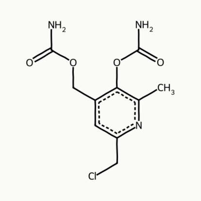 Cc1nc(CCl)cc(COC(N)=O)c1OC(N)=O